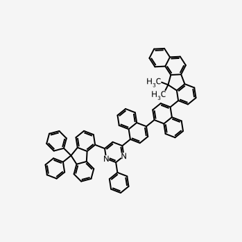 CC1(C)c2c(cccc2-c2ccc(-c3ccc(-c4cc(-c5cccc6c5-c5ccccc5C6(c5ccccc5)c5ccccc5)nc(-c5ccccc5)n4)c4ccccc34)c3ccccc23)-c2ccc3ccccc3c21